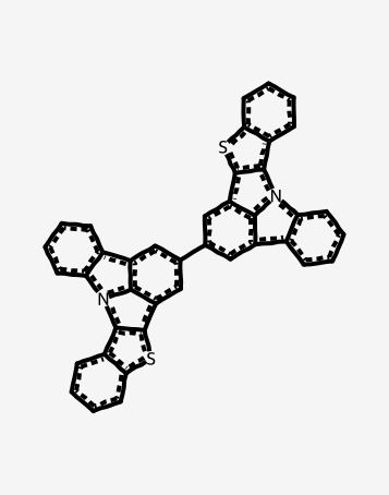 c1ccc2c(c1)sc1c3cc(-c4cc5c6ccccc6n6c5c(c4)c4sc5ccccc5c46)cc4c5ccccc5n(c43)c21